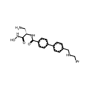 CC(C)CNCc1ccc(-c2ccc(C(=O)N[C@@H](CN)C(=O)NO)cc2)cc1